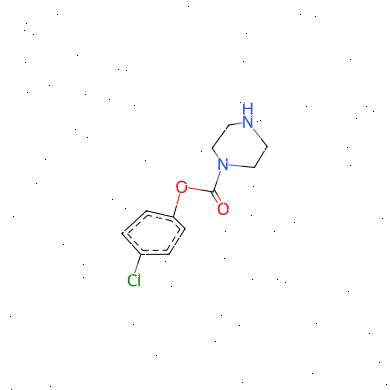 O=C(Oc1ccc(Cl)cc1)N1CCNCC1